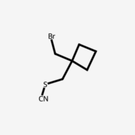 N#CSCC1(CBr)CCC1